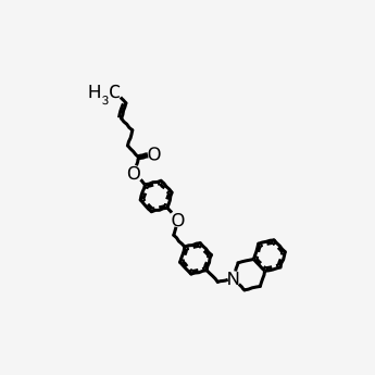 CC=CCCC(=O)Oc1ccc(OCc2ccc(CN3CCc4ccccc4C3)cc2)cc1